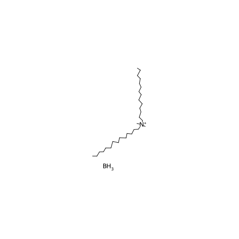 B.CCCCCCCCCCCCCC[N+](C)(C)CCCCCCCCCCCCCC